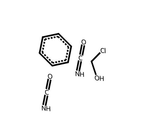 N=C=O.N=C=O.OCCl.c1ccccc1